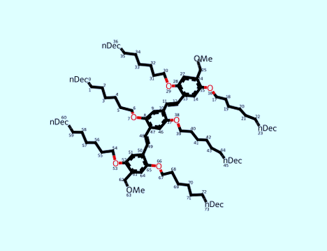 CCCCCCCCCCCCCCCCOc1cc(/C=C/c2cc(OCCCCCCCCCCCCCCCC)c(COC)cc2OCCCCCCCCCCCCCCCC)c(OCCCCCCCCCCCCCCCC)cc1/C=C/c1cc(OCCCCCCCCCCCCCCCC)c(COC)cc1OCCCCCCCCCCCCCCCC